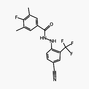 Cc1cc(C(=O)NNc2ccc(C#N)cc2C(F)(F)F)cc(C)c1F